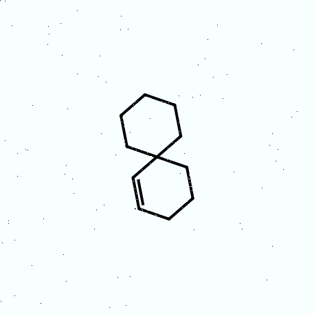 [C]1=CC2(CCC1)CCCCC2